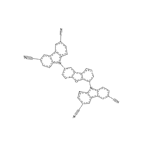 N#Cc1ccc2c(c1)c1cc(C#N)ccc1n2-c1ccc2oc3c(-n4c5ccc(C#N)cc5c5cc(C#N)ccc54)cccc3c2c1